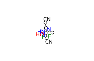 N#Cc1ccc(-c2ccc3c4c(c(-c5ccccc5)nc3c2)C=C(c2c(F)cc(C#N)cc2F)/C(=N/O)C4=N)cc1